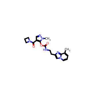 Cc1cccn2cc(CCNC(=O)Oc3c(C(=O)N4CCC4)cnn3C)nc12